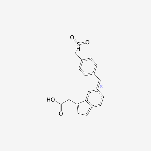 O=C(O)CC1=CC=c2cc/c(=C/c3ccc(C[SH](=O)=O)cc3)cc21